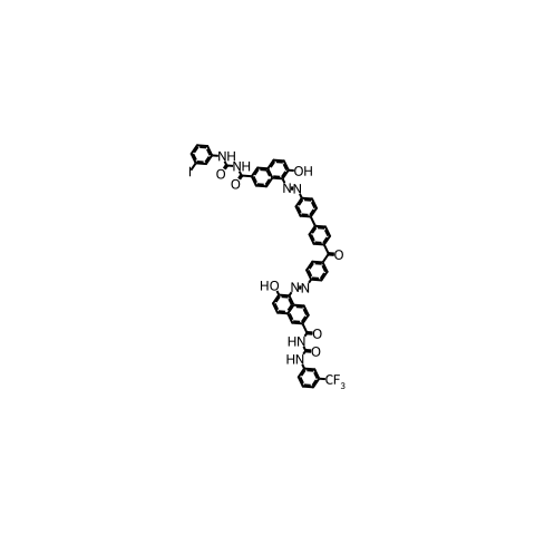 O=C(NC(=O)c1ccc2c(N=Nc3ccc(-c4ccc(C(=O)c5ccc(N=Nc6c(O)ccc7cc(C(=O)NC(=O)Nc8cccc(C(F)(F)F)c8)ccc67)cc5)cc4)cc3)c(O)ccc2c1)Nc1cccc(I)c1